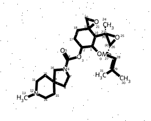 COC1C(OC(=O)N2CCC3(CCN(C)CC3)C2)CCC2(CO2)C1[C@@]1(C)O[C@@H]1CC=C(C)C